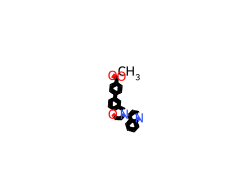 COC(=O)c1ccc(-c2ccc3c(c2)CN(c2ccnc4ccccc24)CCO3)cc1